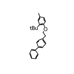 Cc1ccc(OCCc2ccc(-c3ccccc3)cc2)c(C(C)(C)C)c1